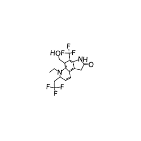 CCN1c2c(c3c(c(C(F)(F)F)c2CO)NC(=O)C3)C=CC1CC(F)(F)F